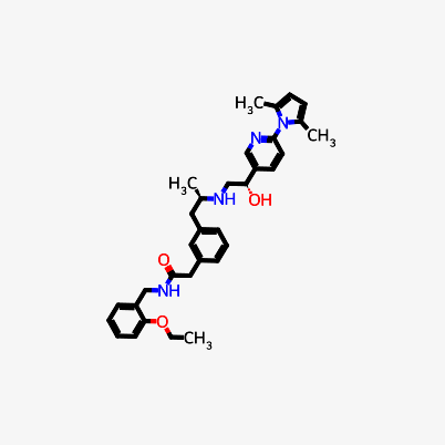 CCOc1ccccc1CNC(=O)Cc1cccc(C[C@@H](C)NC[C@@H](O)c2ccc(-n3c(C)ccc3C)nc2)c1